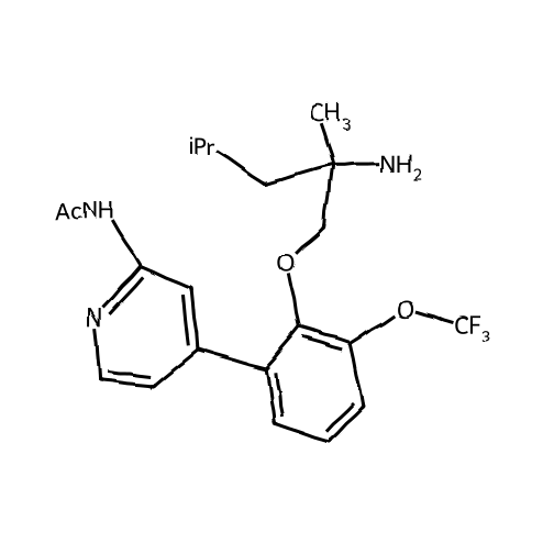 CC(=O)Nc1cc(-c2cccc(OC(F)(F)F)c2OCC(C)(N)CC(C)C)ccn1